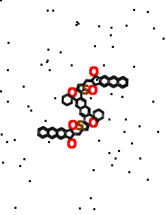 O=C1C(=Cc2cc3c(s2)C2=CC4C=C5C(=CC4C=C2C2(CCCCC2)O3)c2sc(C=C3C(=O)c4cc6cc7ccccc7cc6cc4C3=O)cc2OC52CCCCC2)C(=O)c2cc3cc4ccccc4cc3cc21